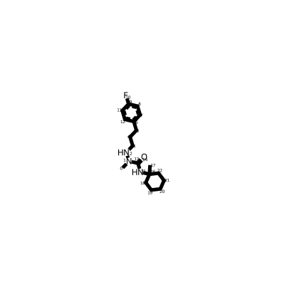 CN(NCCCc1ccc(F)cc1)C(=O)NC1(C)CCCCC1